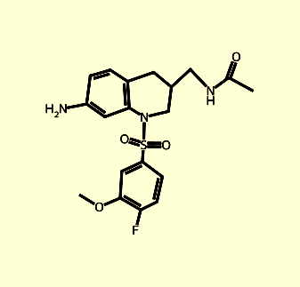 COc1cc(S(=O)(=O)N2CC(CNC(C)=O)Cc3ccc(N)cc32)ccc1F